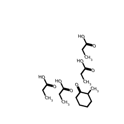 CC1CCCCC1=O.CCC(=O)O.CCC(=O)O.CCC(=O)O.CCC(=O)O